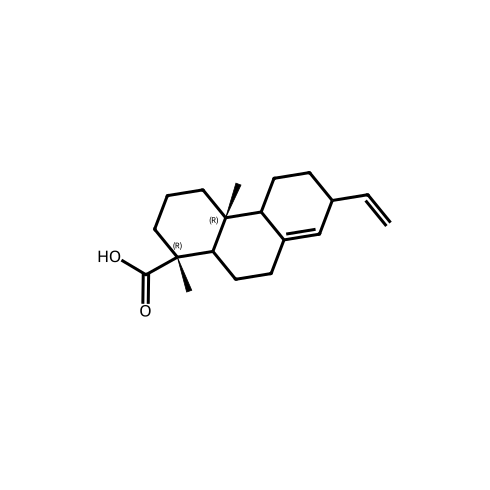 C=CC1C=C2CCC3[C@](C)(CCC[C@@]3(C)C(=O)O)C2CC1